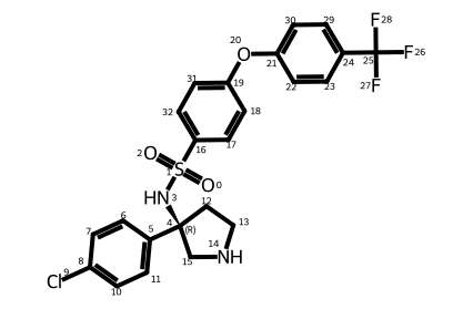 O=S(=O)(N[C@@]1(c2ccc(Cl)cc2)CCNC1)c1ccc(Oc2ccc(C(F)(F)F)cc2)cc1